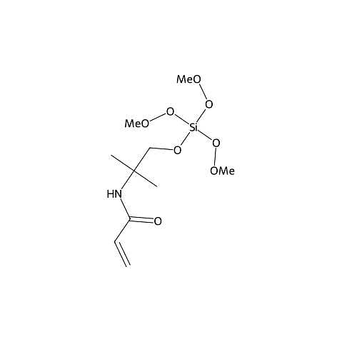 C=CC(=O)NC(C)(C)CO[Si](OOC)(OOC)OOC